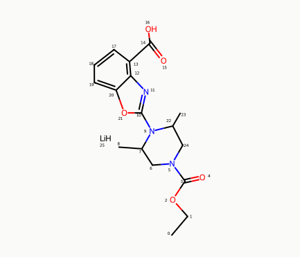 CCOC(=O)N1CC(C)N(c2nc3c(C(=O)O)cccc3o2)C(C)C1.[LiH]